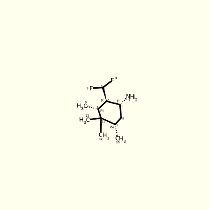 C[C@@H]1[C@@H](C(F)F)[C@H](N)C[C@H](C)C1(C)C